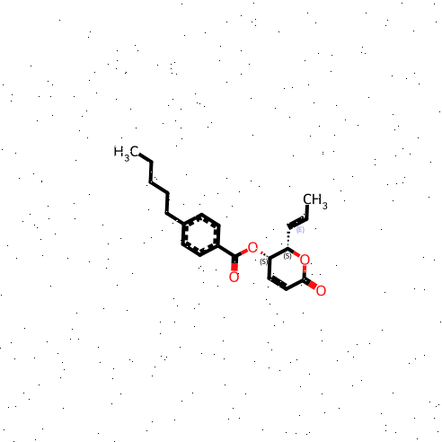 C/C=C/[C@@H]1OC(=O)C=C[C@@H]1OC(=O)c1ccc(CCCCC)cc1